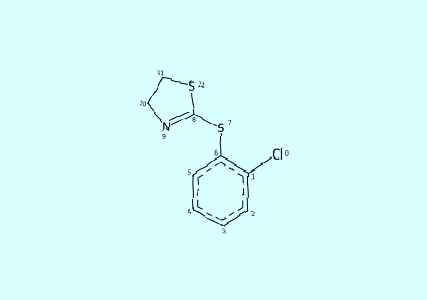 Clc1ccccc1SC1=NCCS1